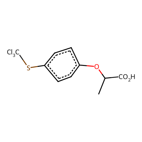 CC(Oc1ccc(SC(Cl)(Cl)Cl)cc1)C(=O)O